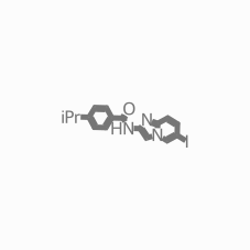 CC(C)c1ccc(C(=O)Nc2cn3cc(I)ccc3n2)cc1